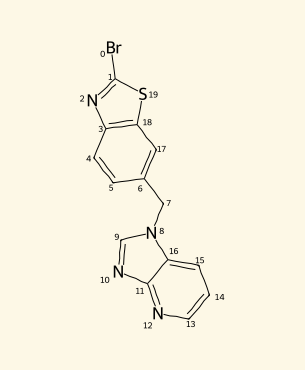 Brc1nc2ccc(Cn3cnc4ncccc43)cc2s1